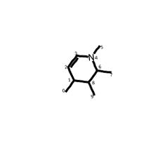 CC1C=CN(C)C(C)C1C